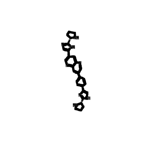 c1cc(-c2c[nH]c([C@@H]3CCCN3)n2)ccc1-c1cnc2cc(-c3cnc([C@@H]4CCCN4)[nH]3)cnc2c1